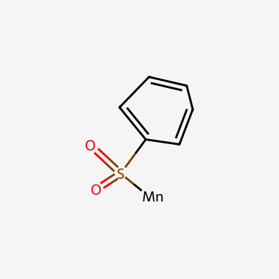 O=[S](=O)([Mn])c1ccccc1